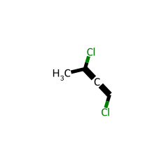 CC(Cl)=C=CCl